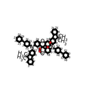 CC1(C)c2ccccc2-c2ccc(N(c3ccc(-c4ccccc4)cc3)c3ccc4c(c3)C3(c5ccccc5O4)c4ccccc4Oc4ccc(N(c5ccc(-c6ccccc6)cc5)c5ccc6c(c5)C(C)(C)c5ccccc5-6)cc43)cc21